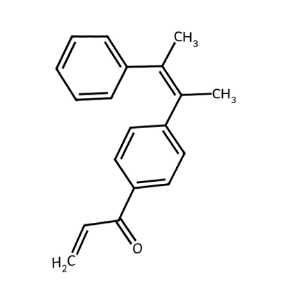 C=CC(=O)c1ccc(C(C)=C(C)c2ccccc2)cc1